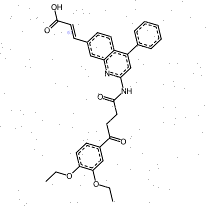 CCOc1ccc(C(=O)CCC(=O)Nc2cc(-c3ccccc3)c3ccc(/C=C/C(=O)O)cc3n2)cc1OCC